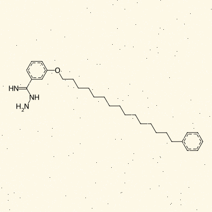 N=C(NN)c1cccc(OCCCCCCCCCCCCCCCc2ccccc2)c1